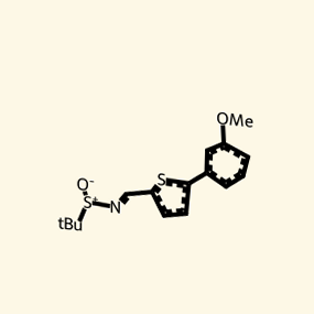 COc1cccc(-c2ccc(/C=N/[S+]([O-])C(C)(C)C)s2)c1